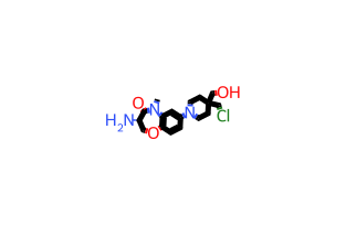 CN1C(=O)[C@@H](N)COc2ccc(N3CCC(CO)(CCl)CC3)cc21